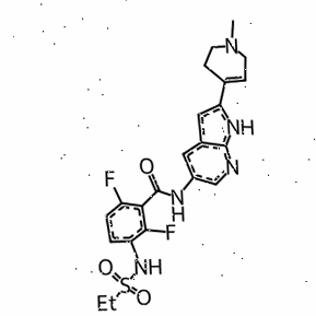 CCS(=O)(=O)Nc1ccc(F)c(C(=O)Nc2cnc3[nH]c(C4=CCN(C)CC4)cc3c2)c1F